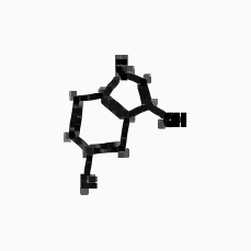 CCc1ccc2[nH]cc(O)c2c1